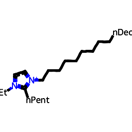 CCCCCCCCCCCCCCCCCCC[n+]1ccn(CC)c1CCCCC